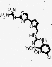 NC(N)=Nc1nc(-c2ccc(CNC3=NS(O)(O)c4cc(Cl)ccc4N3)o2)cs1